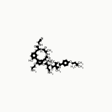 Cc1nc(-c2ccc(OCCC(C)(C)C)cc2)nc(C)c1C(=O)NC(CCN)C(=O)N(C)C1C(=O)NC(C)C(=O)NC(C(=O)NCC#N)Cc2ccc(O)c(c2)-c2cc1ccc2OCCN